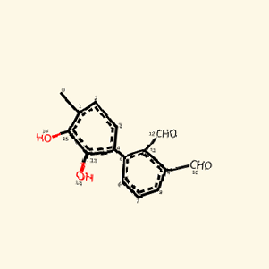 Cc1ccc(-c2cccc(C=O)c2C=O)c(O)c1O